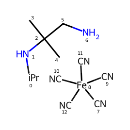 CC(C)NC(C)(C)CN.N#[C][Fe]([C]#N)([C]#N)([C]#N)[C]#N